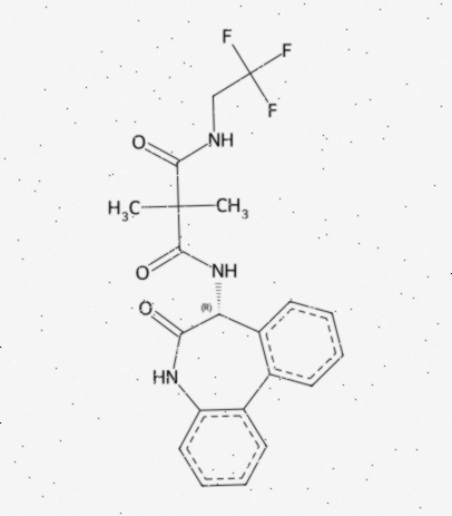 CC(C)(C(=O)NCC(F)(F)F)C(=O)N[C@H]1C(=O)Nc2ccccc2-c2ccccc21